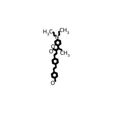 CCCN(CCC)c1ccc2c(CC)c(/C=C/c3ccc(/C=C/c4ccc(C=O)cc4)cc3)c(=O)oc2c1